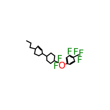 CCCC1C=CC(C2CCC(C(F)(F)Oc3ccc(C(F)(F)F)c(F)c3)CC2)CC1